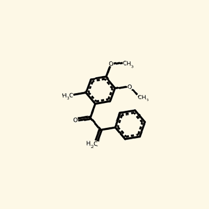 C=C(C(=O)c1cc(OC)c(OC)cc1C)c1ccccc1